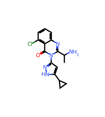 CC(N)c1nc2cccc(Cl)c2c(=O)n1-c1cc(C2CC2)[nH]n1